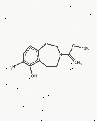 C=C(OC(C)(C)C)N1CCc2ccc([N+](=O)[O-])c(O)c2CC1